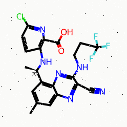 Cc1cc([C@@H](C)Nc2ccc(Cl)nc2C(=O)O)c2nc(NCCC(F)(F)F)c(C#N)nc2c1